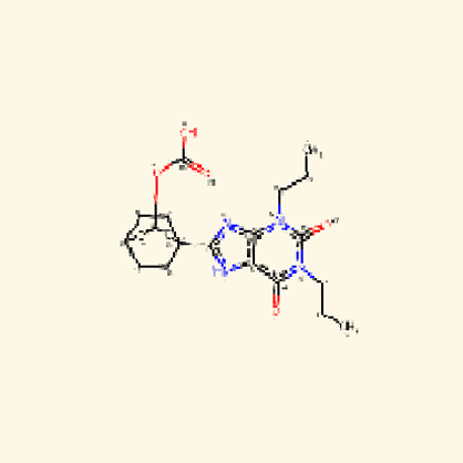 CCCn1c(=O)c2[nH]c(C34CCC(CC3)CC(OC(=O)O)C4)nc2n(CCC)c1=O